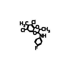 Cc1c(Cl)ccc(OC(C)C(=O)Nc2ccc(F)cc2)c1Cl